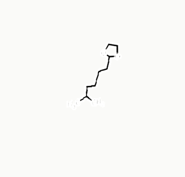 CC(C)CCCCC1OCCO1